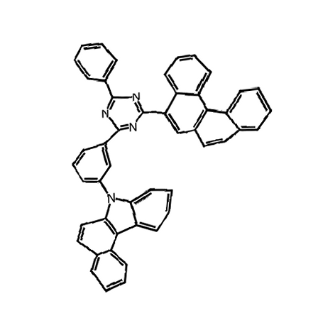 c1ccc(-c2nc(-c3cccc(-n4c5ccccc5c5c6ccccc6ccc54)c3)nc(-c3cc4ccc5ccccc5c4c4ccccc34)n2)cc1